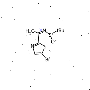 C/C(=N/[S+]([O-])C(C)(C)C)c1ncc(Br)s1